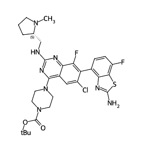 CN1CCC[C@H]1CNc1nc(N2CCN(C(=O)OC(C)(C)C)CC2)c2cc(Cl)c(-c3ccc(F)c4sc(N)nc34)c(F)c2n1